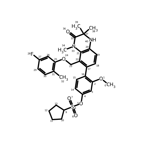 COc1cc(OS(=O)(=O)C2CCCC2)ccc1-c1ccc2c(c1COc1cc(F)ccc1C)N(C)C(=O)C(C)(C)N2